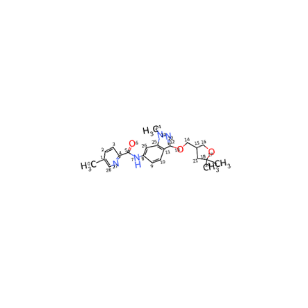 Cc1ccc(C(=O)Nc2ccc3c(OCC4COC(C)(C)C4)nn(C)c3c2)nc1